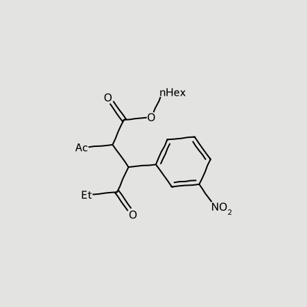 CCCCCCOC(=O)C(C(C)=O)C(C(=O)CC)c1cccc([N+](=O)[O-])c1